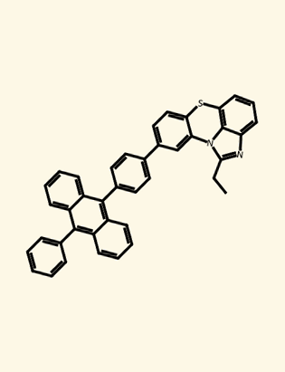 CCc1nc2cccc3c2n1-c1cc(-c2ccc(-c4c5ccccc5c(-c5ccccc5)c5ccccc45)cc2)ccc1S3